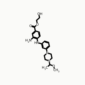 COC(C)N1CCN(c2cccc(Nc3ccc(C(=O)OCCO)cc3N)c2)CC1